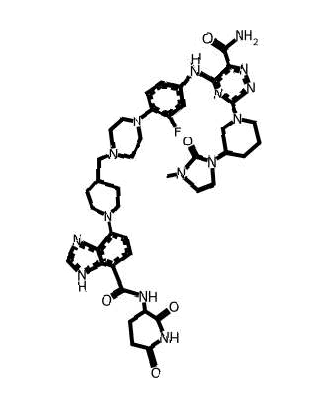 CN1CCN(C2CCCN(c3nnc(C(N)=O)c(Nc4ccc(N5CCN(CC6CCN(c7ccc(C(=O)NC8CCC(=O)NC8=O)c8[nH]cnc78)CC6)CC5)c(F)c4)n3)C2)C1=O